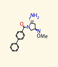 CON=C1C[C@@H](CN)N(C(=O)c2ccc(-c3ccccc3)cc2)C1